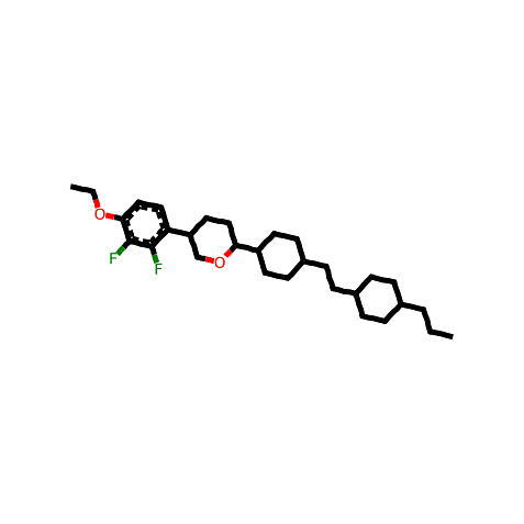 CCCC1CCC(CCC2CCC(C3CCC(c4ccc(OCC)c(F)c4F)CO3)CC2)CC1